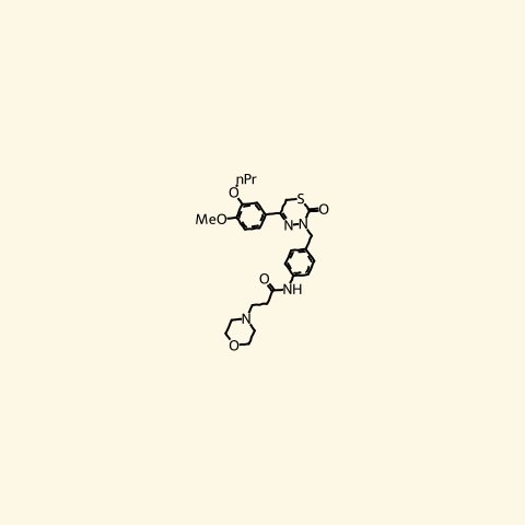 CCCOc1cc(C2=NN(Cc3ccc(NC(=O)CCN4CCOCC4)cc3)C(=O)SC2)ccc1OC